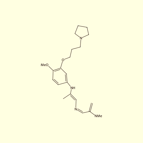 C=C(/C=N\C=C(/C)Nc1ccc(OC)c(OCCCN2CCCC2)c1)NC